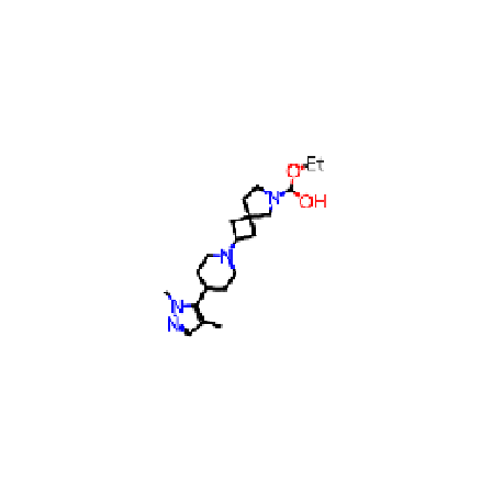 CCOC(O)N1CCC2(CC(N3CCC(c4c(C)cnn4C)CC3)C2)C1